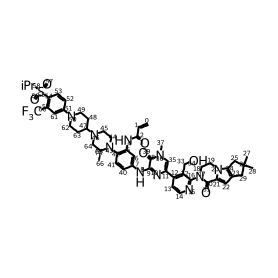 C=CC(=O)Nc1cc(Nc2nc(-c3ccnc(N4CCn5c(cc6c5CC(C)(C)C6)C4=O)c3CO)cn(C)c2=O)ccc1N1CCN(C2CCN(c3ccc(S(=O)(=O)C(C)C)c(C(F)(F)F)c3)CC2)C[C@@H]1C